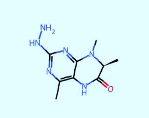 Cc1nc(NN)nc2c1NC(=O)[C@H](C)N2C